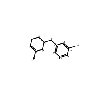 FC1=CCCC(Cc2cncc(F)c2)C1